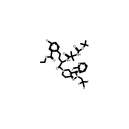 CCOC(=O)c1cc(F)ccc1CCC(NC(=O)C(C)(C)NC(=O)OC(C)(C)C)C(=O)N1CCC2=NN(CC(F)(F)F)C(=O)[C@]2(Cc2ccccn2)C1